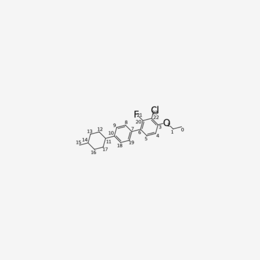 CCOc1ccc(-c2ccc(C3CCC(C)CC3)cc2)c(F)c1Cl